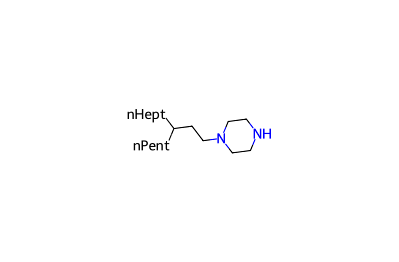 CCCCCCCC(CCCCC)CCN1CCNCC1